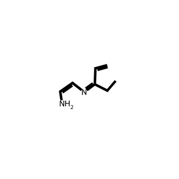 C=C/C(CC)=N\C=C/N